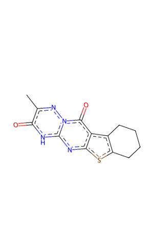 Cc1nn2c(=O)c3c4c(sc3nc2[nH]c1=O)CCCC4